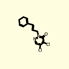 O=c1c(Cl)c(Cl)cnn1CC=CC1=CCCC=C1